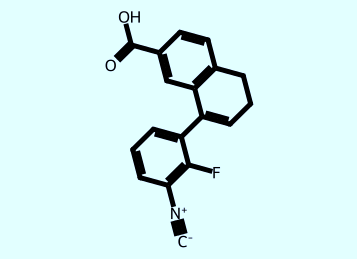 [C-]#[N+]c1cccc(C2=CCCc3ccc(C(=O)O)cc32)c1F